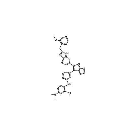 COc1ccccc1Cc1nc2ccc(-c3nc4sccn4c3-c3ccnc(Nc4ccc(N(C)C)cc4OC)n3)cc2[nH]1